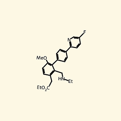 CCNCc1c(CC(=O)OCC)ccc(OC)c1-c1ccc(-c2ccc(F)cn2)cc1